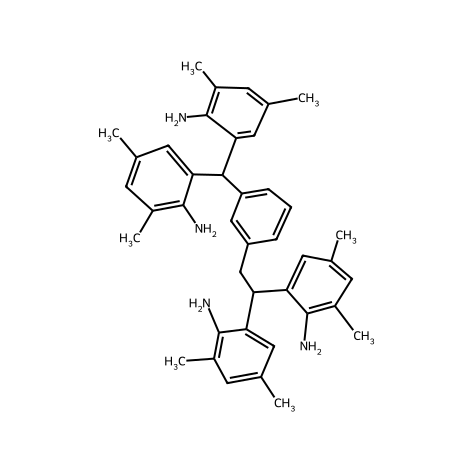 Cc1cc(C)c(N)c(C(Cc2cccc(C(c3cc(C)cc(C)c3N)c3cc(C)cc(C)c3N)c2)c2cc(C)cc(C)c2N)c1